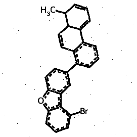 CC1C=CC=C2c3cccc(-c4ccc5oc6cccc(Br)c6c5c4)c3C=CC21